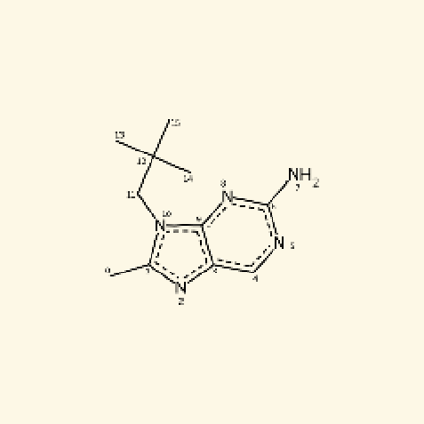 Cc1nc2cnc(N)nc2n1CC(C)(C)C